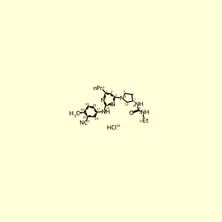 CCCc1cc(N2CC[C@H](NC(=O)NCC)C2)nc(Nc2ccc(C)c(C#N)c2)n1.Cl